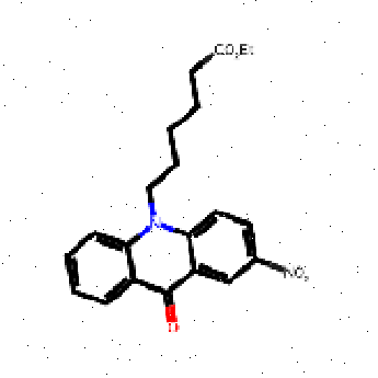 CCOC(=O)CCCCCn1c2ccccc2c(=O)c2cc([N+](=O)[O-])ccc21